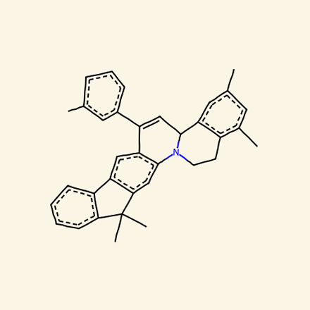 Cc1cccc(C2=CC3c4cc(C)cc(C)c4CCN3c3cc4c(cc32)-c2ccccc2C4(C)C)c1